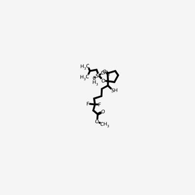 COC(=O)CC(F)(F)CCCC(S)C1(O[Si](C)(C)CC(C)C)CCCC1=O